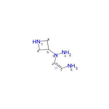 N/C=C\N(N)C1CNC1